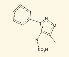 Cc1onc(-c2ccccc2)c1[N]C(=O)O